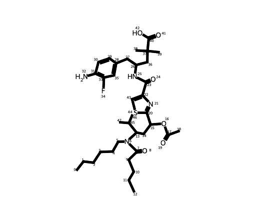 CCCCCCN(C(=O)CCCC)C(CC(OC(C)=O)c1nc(C(=O)NC(Cc2ccc(N)c(F)c2)CC(C)(C)C(=O)O)cs1)C(C)C